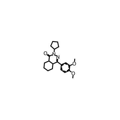 COc1ccc(C2=NN(C3CCCC3)C(=O)C3CCCCC23)cc1OC